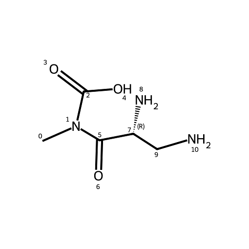 CN(C(=O)O)C(=O)[C@H](N)CN